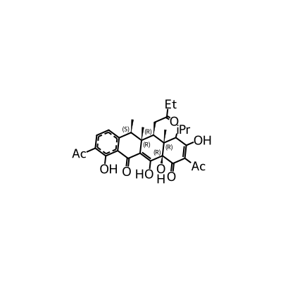 CCC(=O)C[C@@H]1[C@]2(C)C(=C(O)[C@@]3(O)C(=O)C(C(C)=O)=C(O)C(C(C)C)[C@@]13C)C(=O)c1c(ccc(C(C)=O)c1O)[C@H]2C